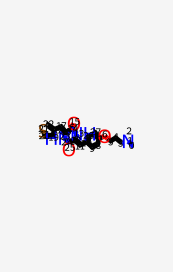 CN(C)CCCOc1ccc(C=c2[nH]c(=O)c(=Cc3ccsc3)[nH]c2=O)cc1